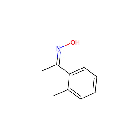 C/C(=N/O)c1ccccc1C